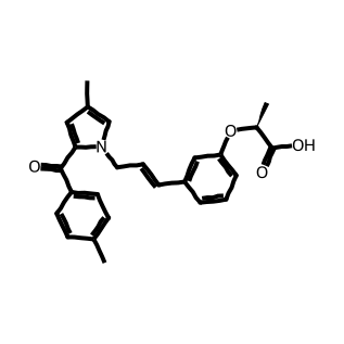 Cc1ccc(C(=O)c2cc(C)cn2C/C=C/c2cccc(O[C@@H](C)C(=O)O)c2)cc1